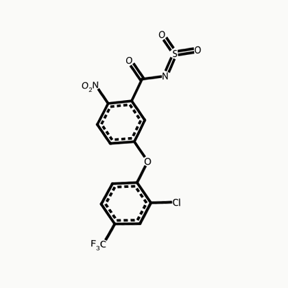 O=C(N=S(=O)=O)c1cc(Oc2ccc(C(F)(F)F)cc2Cl)ccc1[N+](=O)[O-]